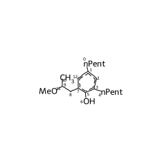 CCCCCc1cc(CCCCC)c(O)c(CC(C)OC)c1